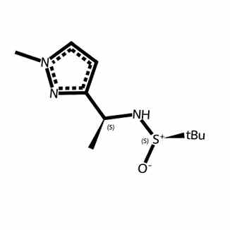 C[C@H](N[S@+]([O-])C(C)(C)C)c1ccn(C)n1